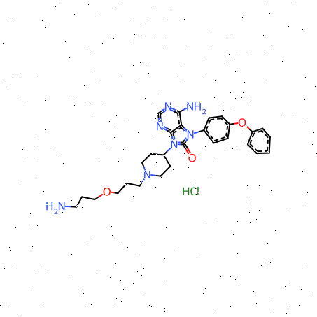 Cl.NCCCOCCCN1CCC(n2c(=O)n(-c3ccc(Oc4ccccc4)cc3)c3c(N)ncnc32)CC1